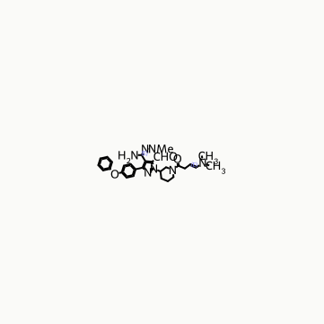 CN/N=C(/N)c1c(-c2ccc(Oc3ccccc3)cc2)nn(C2CCCN(C(=O)C/C=C/N(C)C)C2)c1C=O